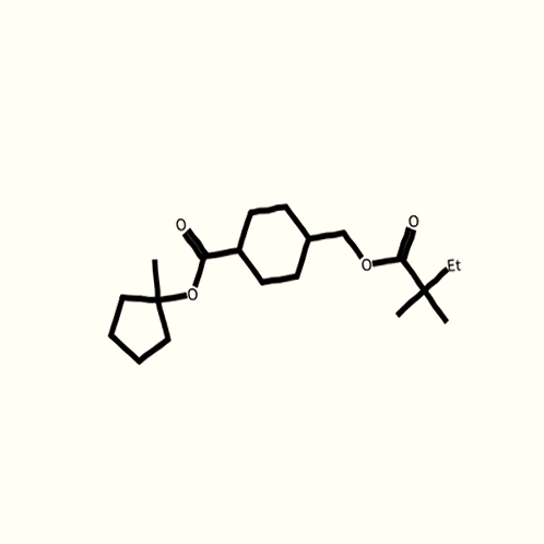 CCC(C)(C)C(=O)OCC1CCC(C(=O)OC2(C)CCCC2)CC1